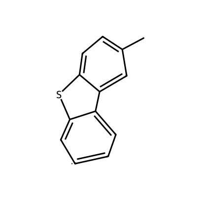 Cc1ccc2sc3c[c]ccc3c2c1